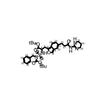 CC(C)(C)OC(=O)C(Cc1occ2cc(CCC(=O)NC3=NCCCN3)ccc12)NS(=O)(=O)N(Cc1ccccc1)C(=O)OC(C)(C)C